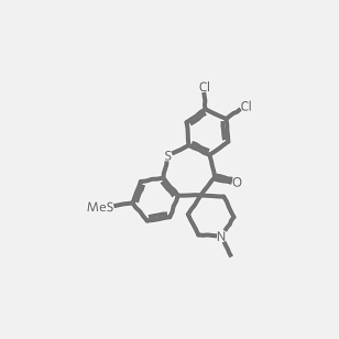 CSc1ccc2c(c1)Sc1cc(Cl)c(Cl)cc1C(=O)C21CCN(C)CC1